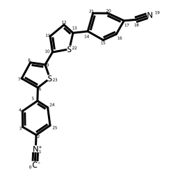 [C-]#[N+]c1ccc(-c2ccc(-c3ccc(-c4ccc(C#N)cc4)s3)s2)cc1